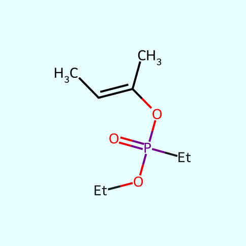 CC=C(C)OP(=O)(CC)OCC